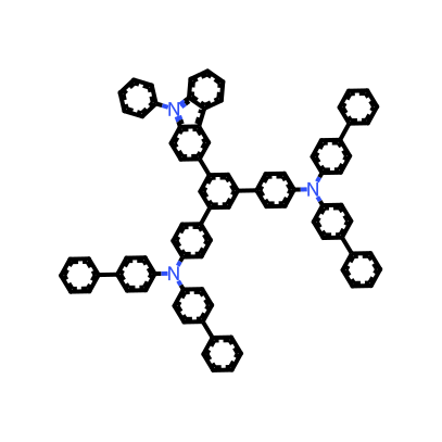 c1ccc(-c2ccc(N(c3ccc(-c4ccccc4)cc3)c3ccc(-c4cc(-c5ccc(N(c6ccc(-c7ccccc7)cc6)c6ccc(-c7ccccc7)cc6)cc5)cc(-c5ccc6c(c5)c5ccccc5n6-c5ccccc5)c4)cc3)cc2)cc1